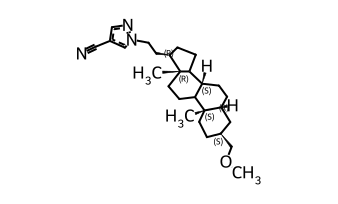 COC[C@H]1CC[C@]2(C)C3CC[C@@]4(C)C(CC[C@@H]4CCn4cc(C#N)cn4)[C@@H]3CC[C@@H]2C1